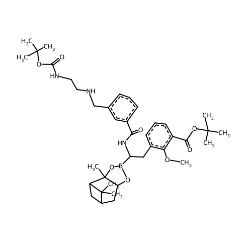 COc1c(CC(NC(=O)c2cccc(CNCCNC(=O)OC(C)(C)C)c2)B2OC3CC4CC(C4(C)C)C3(C)O2)cccc1C(=O)OC(C)(C)C